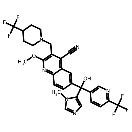 COc1nc2ccc(C(O)(c3ccc(C(F)(F)F)nc3)c3cncn3C)cc2c(C#N)c1CN1CCC(C(F)(F)F)CC1